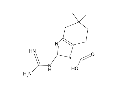 CC1(C)CCc2sc(NC(=N)N)nc2C1.O=CO